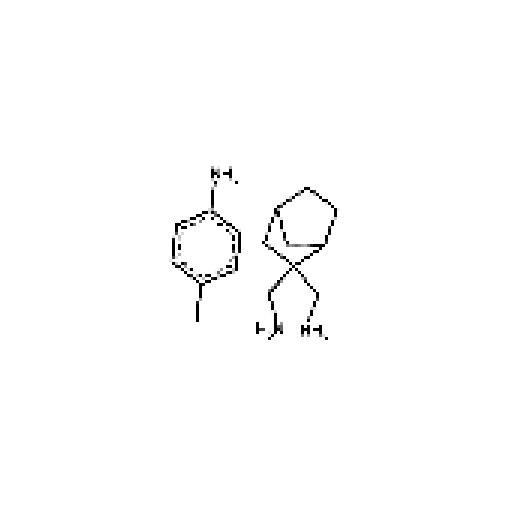 Cc1ccc(N)cc1.NCC1(CN)CC2CCC1C2